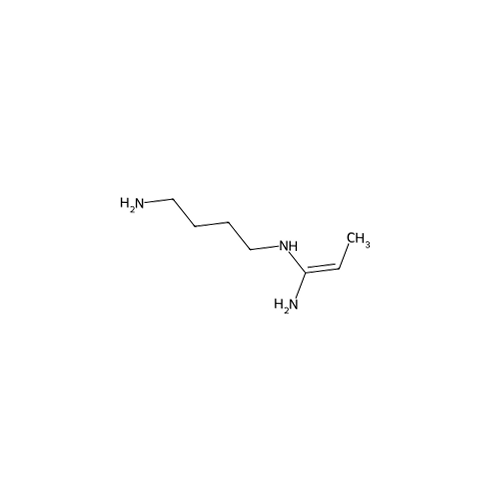 CC=C(N)NCCCCN